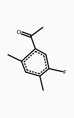 CC(=O)c1cc(F)c(C)cc1C